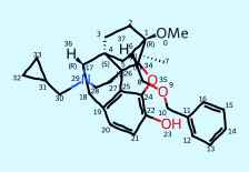 CO[C@]12CC[C@@]3(C[C@]1(C)COCc1ccccc1)[C@H]1Cc4ccc(O)c5c4[C@@]3(CCN1CC1CC1)[C@H]2O5